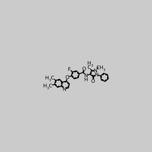 Cc1cc2nccc(Oc3ccc(C(=O)Nc4c(C)n(C)n(-c5ccccc5)c4=O)cc3F)c2cc1C